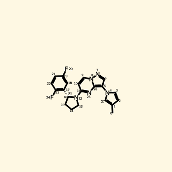 Cc1ccn(-c2cnn3ccc(N4CCC[C@@H]4c4cc(F)ccc4F)nc23)c1